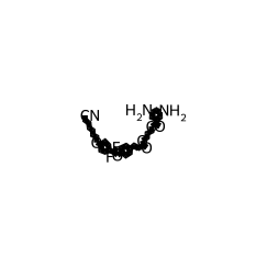 N#CCCCCCCOc1ccc(C(F)(F)Oc2ccc(C=CC(=O)OCCCOC(=O)c3cc(N)cc(N)c3)cc2)cc1